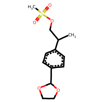 CC(COS(C)(=O)=O)c1ccc(C2OCCO2)cc1